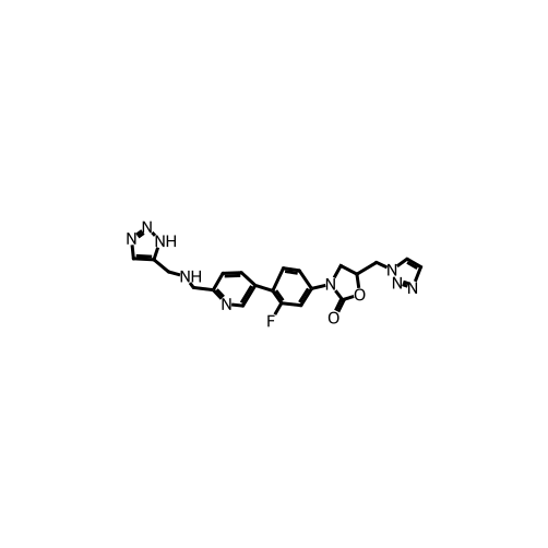 O=C1OC(Cn2ccnn2)CN1c1ccc(-c2ccc(CNCc3cnn[nH]3)nc2)c(F)c1